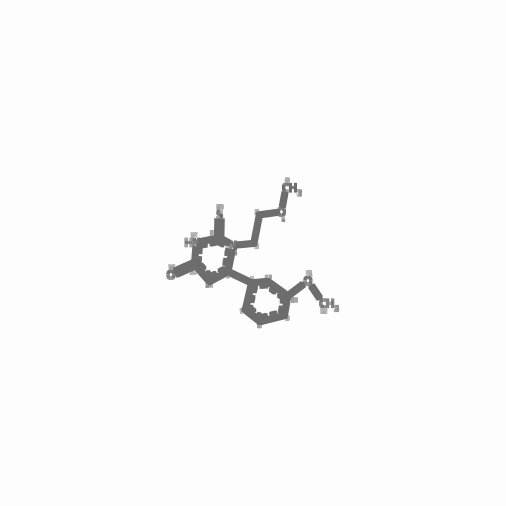 COCCn1c(-c2cccc(OC)c2)cc(=O)[nH]c1=S